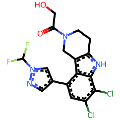 O=C(CO)N1CCc2[nH]c3c(Cl)c(Cl)cc(-c4cnn(C(F)F)c4)c3c2C1